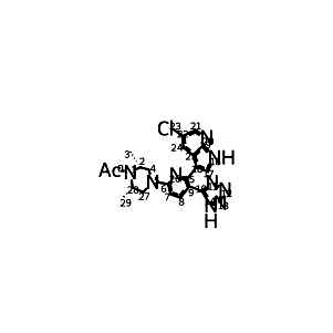 CC(=O)N1[C@H](C)CN(c2ccc(-c3nnn[nH]3)c(-c3c[nH]c4ncc(Cl)cc34)n2)C[C@@H]1C